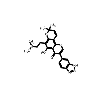 CN(C)CCc1c2c(c3occ(-c4ccc5nn[nH]c5c4)c(=O)c3c1O)C=CC(C)(C)O2